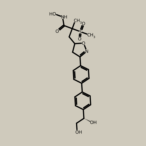 CC(CC1CC(c2ccc(-c3ccc([C@H](O)CO)cc3)cc2)=NO1)(C(=O)NO)S(C)(=O)=O